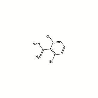 C=C(NC)c1c(Cl)cccc1CC